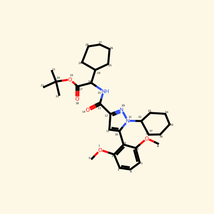 COc1cccc(OC)c1-c1cc(C(=O)NC(C(=O)OC(C)(C)C)C2CCCCC2)nn1C1CCCCC1